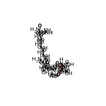 CC[C@H](C)[C@H](NC(=O)[C@H](CCC(=O)O)NC(=O)[C@H](CCC(=O)O)NC(=O)[C@H](Cc1ccccc1)NC(=O)[C@H](CC(=O)O)NC(=O)CNC(=O)[C@H](CC(N)=O)NC(=O)CNC(=O)CNC(=O)CNC(=O)CNC(=O)[C@@H]1CCCN1C(=O)[C@H](CCCNC(=N)N)NC(=O)[C@@H]1CCCN1C(=O)[C@H](N)Cc1ccccc1)C(=O)N1CCC[C@H]1C(=O)N[C@@H](CCC(=O)O)C(=O)N[C@@H](CCC(=O)O)C(=O)N[C@H]([C]=O)Cc1ccc(O)cc1